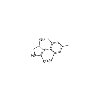 Cc1cc(C)c([N+]2=C(C(=O)O)NCC2C(C)(C)C)c(C)c1